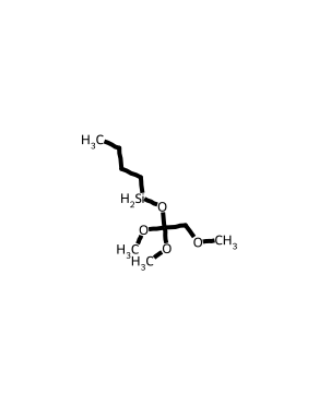 CCCC[SiH2]OC(COC)(OC)OC